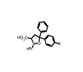 CCCN1OC(c2ccccc2)(c2ccc(F)cc2)CC1C(=O)O